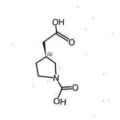 O=C(O)C[C@@H]1CCN(C(=O)O)C1